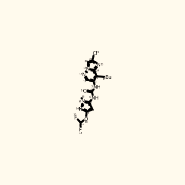 CCC(C)c1c(NC(=O)Nc2cc(OC(F)F)nn2C)cnn2cc(Cl)nc12